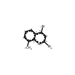 Cc1cccc2c(Br)cc(Br)nc12